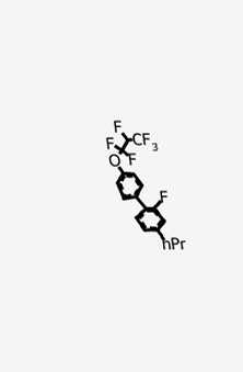 CCCc1ccc(-c2ccc(OC(F)(F)C(F)C(F)(F)F)cc2)c(F)c1